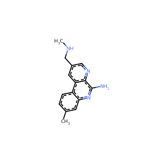 CNCc1cnc2c(N)nc3cc(C)ccc3c2c1